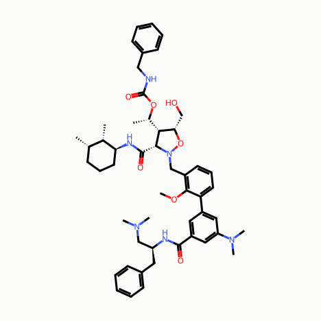 COc1c(CN2O[C@@H](CO)[C@@H]([C@H](C)OC(=O)NCc3ccccc3)[C@H]2C(=O)N[C@H]2CCC[C@H](C)[C@@H]2C)cccc1-c1cc(C(=O)N[C@@H](Cc2ccccc2)CN(C)C)cc(N(C)C)c1